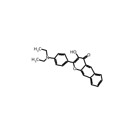 CCN(CC)c1ccc(-c2oc3cc4ccccc4cc3c(=O)c2O)cc1